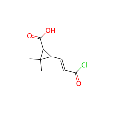 CC1(C)C(C=CC(=O)Cl)C1C(=O)O